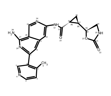 Cc1ccncc1-c1cc2cc(NC(=O)[C@@H]3C[C@H]3[C@H]3CNC(=O)O3)ncc2c(N)n1